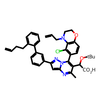 C=CCCc1ccccc1-c1cccc(-c2cc3nc(C)c(C(OC(C)(C)C)C(=O)O)c(-c4ccc5c(c4Cl)N(CC=C)CCO5)n3n2)c1